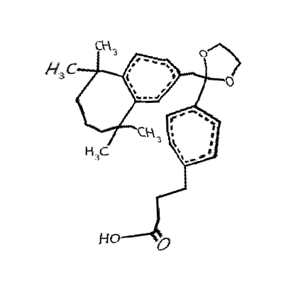 CC1(C)CCC(C)(C)c2cc(C3(c4ccc(CCC(=O)O)cc4)OCCO3)ccc21